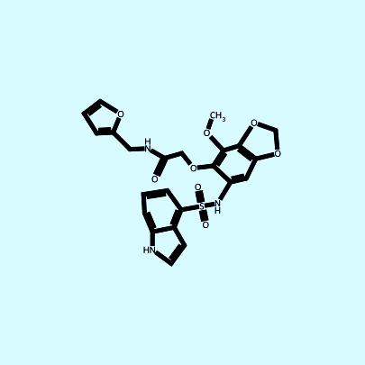 COc1c(OCC(=O)NCc2ccco2)c(NS(=O)(=O)c2cccc3[nH]ccc23)cc2c1OCO2